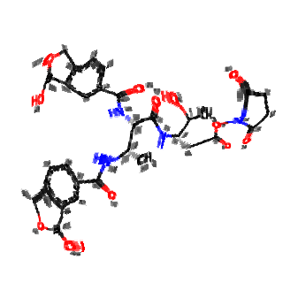 CC(O)[C@H](CC(=O)ON1C(=O)CCC1=O)NC(=O)[C@@H](NC(=O)c1ccc2c(c1)B(O)OC2)[C@H](C)NC(=O)c1ccc2c(c1)B(O)OC2